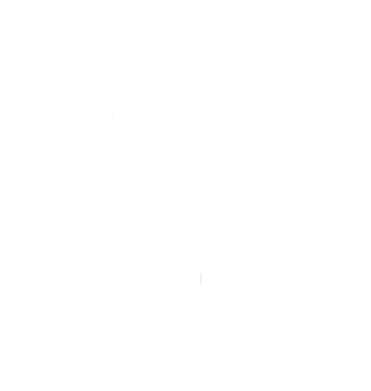 Cc1cccc(C(I)CI)c1